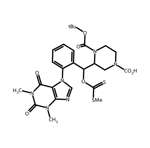 CSC(=S)OC(c1ccccc1-n1cnc2c1c(=O)n(C)c(=O)n2C)C1CN(C(=O)O)CCN1C(=O)OC(C)(C)C